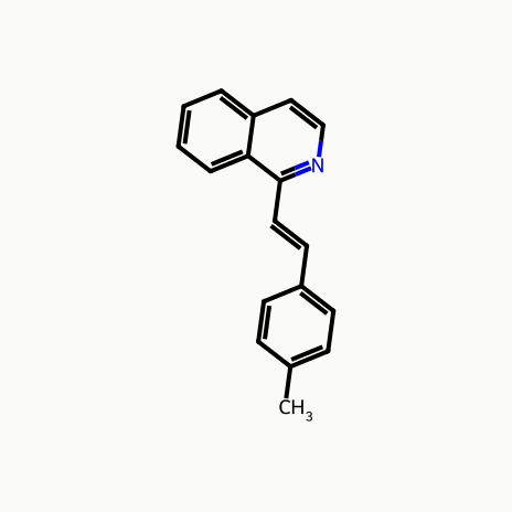 Cc1ccc(C=Cc2nccc3ccccc23)cc1